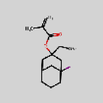 C=C(C)C(=O)OC1(COC(C)=O)CC2CCCC(I)(C2)C1